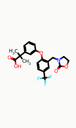 CC(C)(C(=O)O)c1cccc(Oc2ccc(C(F)(F)F)cc2CN2CCOC2=O)c1